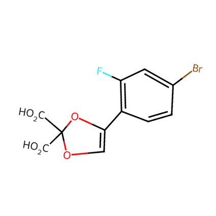 O=C(O)C1(C(=O)O)OC=C(c2ccc(Br)cc2F)O1